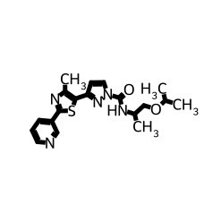 Cc1nc(-c2cccnc2)sc1-c1ccn(C(=O)NC(C)COC(C)C)n1